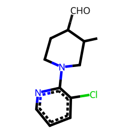 CC1CN(c2ncccc2Cl)CCC1C=O